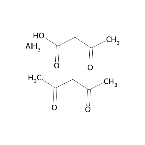 CC(=O)CC(=O)O.CC(=O)CC(C)=O.[AlH3]